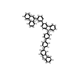 c1cc(-c2ccc3c(c2)c2ccccc2n3-c2ccc(-c3ccc(-c4ccc5sc6ccccc6c5c4)cc3)cc2)cc(-c2cc3ccccc3c3ccccc23)c1